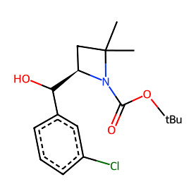 CC(C)(C)OC(=O)N1[C@@H](C(O)c2cccc(Cl)c2)CC1(C)C